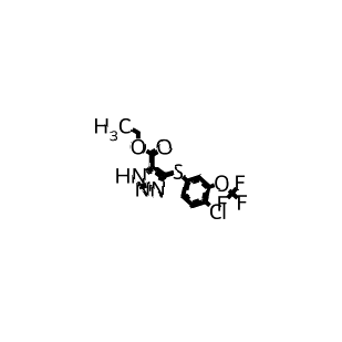 CCOC(=O)c1[nH]nnc1Sc1ccc(Cl)c(OC(F)(F)F)c1